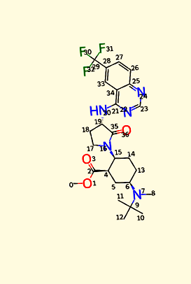 COC(=O)[C@@H]1C[C@H](N(C)C(C)(C)C)CC[C@@H]1N1CC[C@H](Nc2ncnc3ccc(C(F)(F)F)cc23)C1=O